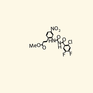 COC(=O)/C=C/c1ccc([N+](=O)[O-])cc1NC(=O)NC(=O)c1cc(F)c(F)cc1Cl